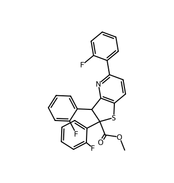 COC(=O)C1(c2ccccc2F)Sc2ccc(-c3ccccc3F)nc2C1c1ccccc1F